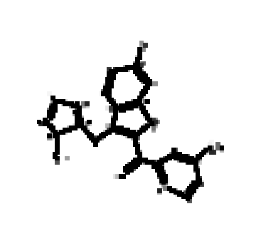 Cc1ccnc(C(=O)c2[nH]c3cc(Cl)ccc3c2Cc2nnnn2C)c1